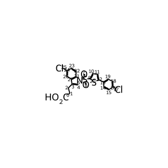 O=C(O)CCc1cn(S(=O)(=O)c2ccc(-c3ccc(Cl)cc3)s2)c2ccc(Cl)cc12